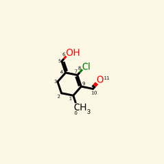 CC1CCC(=CO)C(Cl)=C1C=O